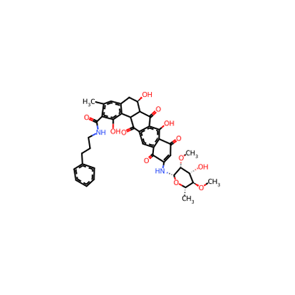 CO[C@@H]1[C@@H](O)[C@@H](OC)[C@@H](NC2=CC(=O)c3c(cc4c(c3O)C(=O)C3C(C4=O)c4c(cc(C)c(C(=O)NCCCc5ccccc5)c4O)C[C@H]3O)C2=O)O[C@H]1C